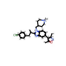 CC(=O)N1CCC(Cn2c(C(C)Cc3ccc(Cl)cc3)nc3cc(-c4c(C)noc4C)ccc32)CC1